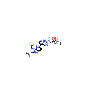 Cc1nc2ccc(-c3ccn4nc(NC[C@H](C)O)ncc34)nc2n1CC(F)F